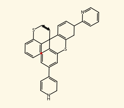 C1=CC(c2ccc3c(c2)SC2=C(C=CC(c4ccccn4)C2)C32c3ccccc3Sc3ccccc32)=CCN1